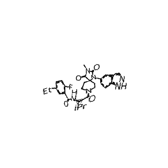 CCc1ccc(F)c(C(=O)N[C@@H](C(=O)N2CCC3(CC2)C(=O)N(C)C(=O)N3c2ccc3[nH]ncc3c2)C(C)C)c1